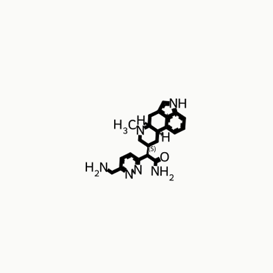 CN1C[C@H](C(C(N)=O)c2ccc(CN)nn2)C[C@@H]2c3cccc4[nH]cc(c34)C[C@H]21